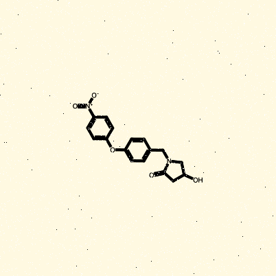 O=C1CC(O)CN1Cc1ccc(Oc2ccc([N+](=O)[O-])cc2)cc1